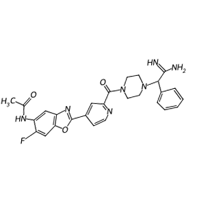 CC(=O)Nc1cc2nc(-c3ccnc(C(=O)N4CCN(C(C(=N)N)c5ccccc5)CC4)c3)oc2cc1F